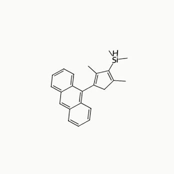 CC1=C([SiH](C)C)C(C)=C(c2c3ccccc3cc3ccccc23)C1